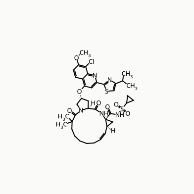 COc1ccc2c(O[C@@H]3C[C@H]4C(=O)N[C@]5(C(=O)NS(=O)(=O)C6CC6)C[C@H]5/C=C\CCCCCC(C)(C)C(=O)N4C3)cc(-c3nc(C(C)C)cs3)nc2c1Cl